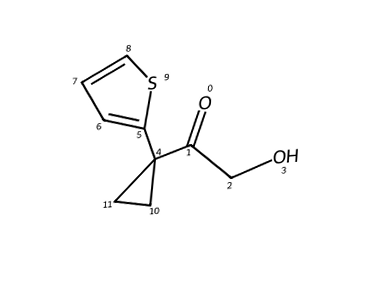 O=C(CO)C1(c2cccs2)CC1